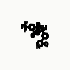 COc1cnccc1-c1cccc(C(C)(C)NS(=O)(=O)c2ccc(C(F)(F)F)cc2[N+](=O)[O-])c1